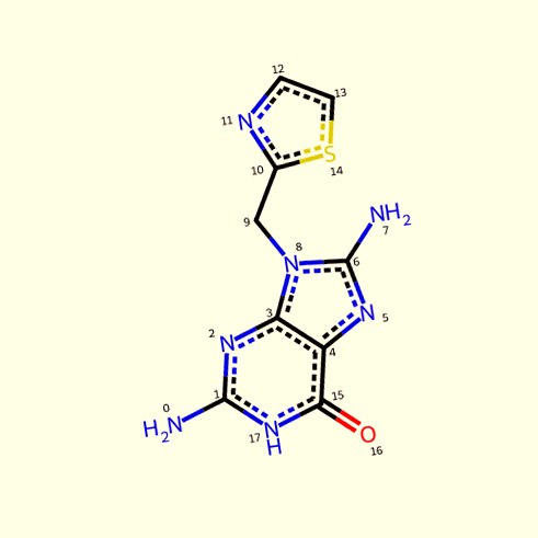 Nc1nc2c(nc(N)n2Cc2nccs2)c(=O)[nH]1